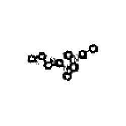 c1ccc(-c2ccc(-n3c4ccccc4c4c3ccc3c5ccccc5n(-c5ccc6oc7c(-c8cccc9c8sc8ccccc89)cccc7c6c5)c34)cc2)cc1